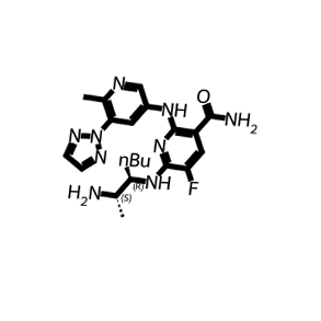 CCCC[C@@H](Nc1nc(Nc2cnc(C)c(-n3nccn3)c2)c(C(N)=O)cc1F)[C@H](C)N